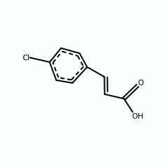 O=C(O)C=Cc1ccc(Cl)cc1